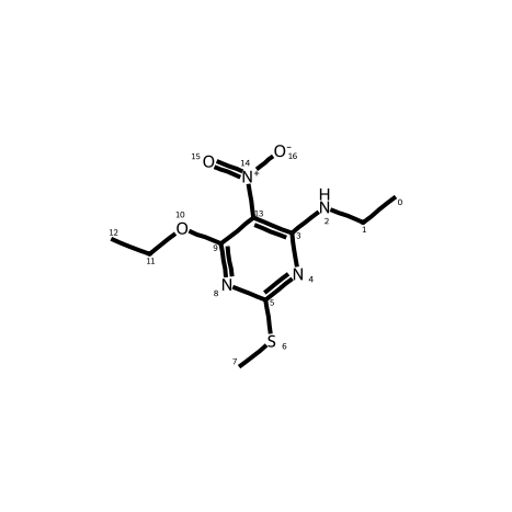 CCNc1nc(SC)nc(OCC)c1[N+](=O)[O-]